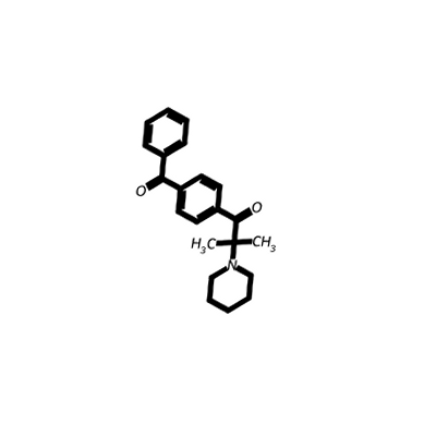 CC(C)(C(=O)c1ccc(C(=O)c2ccccc2)cc1)N1CCCCC1